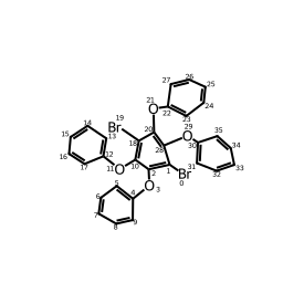 Brc1c(Oc2ccccc2)c(Oc2ccccc2)c(Br)c(Oc2ccccc2)c1Oc1ccccc1